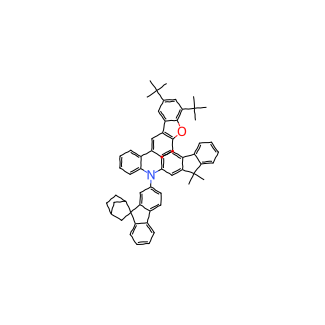 CC(C)(C)c1cc(C(C)(C)C)c2oc3ccc(-c4ccccc4N(c4ccc5c(c4)C(C)(C)c4ccccc4-5)c4ccc5c(c4)C4(CC6CCC4C6)c4ccccc4-5)cc3c2c1